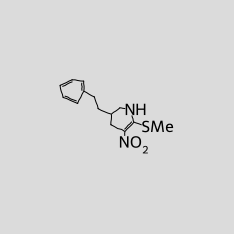 CSC1=C([N+](=O)[O-])CC(CCc2ccccc2)CN1